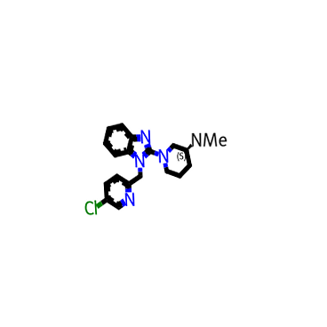 CN[C@H]1CCCN(c2nc3ccccc3n2Cc2ccc(Cl)cn2)C1